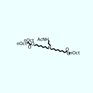 CCCCCCCCOC(=O)CCCCCCCN(CCCCCCCOC(=O)C(CCCCCCCC)CCCCCCCC)CCCNC(C)=O